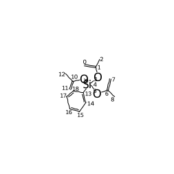 C=C(C)O[Si](OC(=C)C)(OC(=C)C)c1ccccc1